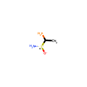 CC(P)[S@@+](N)[O-]